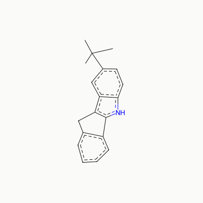 CC(C)(C)c1ccc2[nH]c3c(c2c1)Cc1ccccc1-3